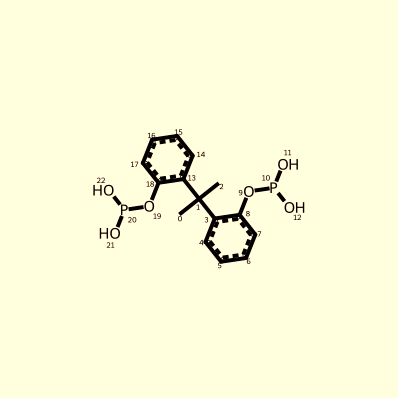 CC(C)(c1ccccc1OP(O)O)c1ccccc1OP(O)O